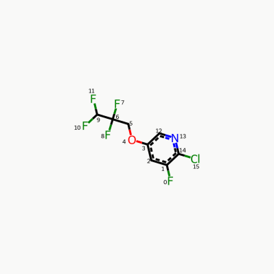 Fc1cc(OCC(F)(F)C(F)F)cnc1Cl